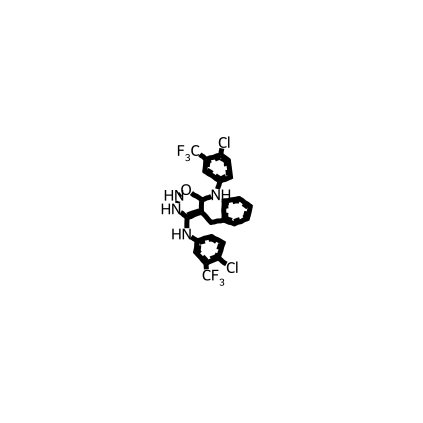 FC(F)(F)c1cc(NC2=C(Cc3ccccc3)C(Nc3ccc(Cl)c(C(F)(F)F)c3)ONN2)ccc1Cl